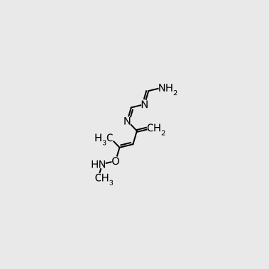 C=C(/C=C(\C)ONC)/N=C\N=C\N